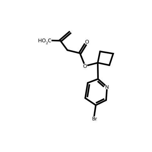 C=C(CC(=O)OC1(c2ccc(Br)cn2)CCC1)C(=O)O